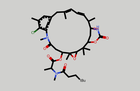 C/C1=C\C=C\C(C)C2(O)CC(OC(=O)N2)C(C)(C)C2OC2(C)C(OC(=O)C(C)N(C)C(=O)CCC(C)(C)C)CC(=O)N(C)c2cc(cc(C)c2Cl)C1